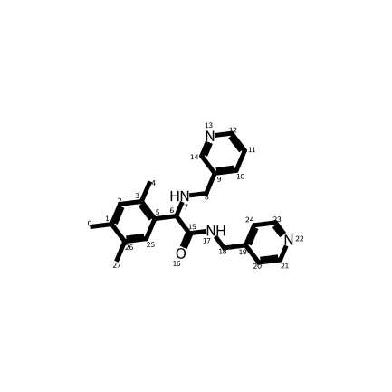 Cc1cc(C)c(C(NCc2cccnc2)C(=O)NCc2ccncc2)cc1C